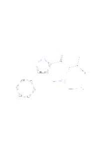 CC(C)[C@H](C)NC(=O)c1noc(-c2ccc(C(F)(F)F)cc2)c1CNCC#N